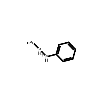 CCC[PH3]Pc1ccccc1